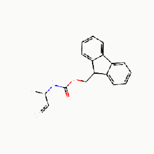 C=C[C@H](NC(=O)OCC1c2ccccc2-c2ccccc21)C(=O)O